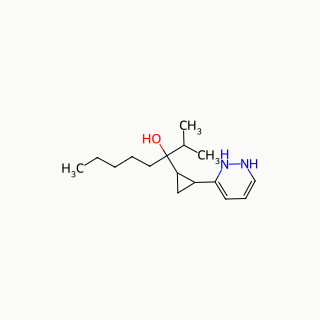 CCCCCC(O)(C(C)C)C1CC1C1=CC=CNN1